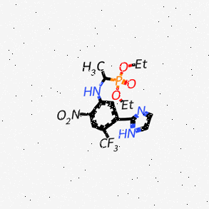 CCOP(=O)(OCC)C(C)Nc1cc(-c2ncc[nH]2)c(C(F)(F)F)cc1[N+](=O)[O-]